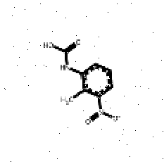 Cc1c(NC(=O)O)cccc1[N+](=O)[O-]